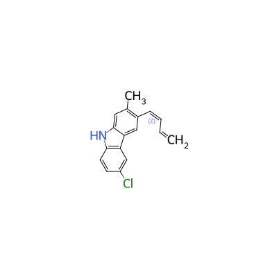 C=C/C=C\c1cc2c(cc1C)[nH]c1ccc(Cl)cc12